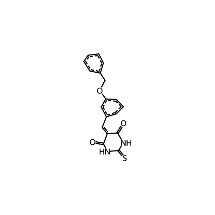 O=C1NC(=S)NC(=O)C1=Cc1cccc(OCc2ccccc2)c1